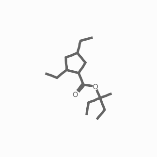 CCC1CC(CC)C(C(=O)OC(C)(CC)CC)C1